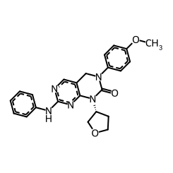 COc1ccc(N2Cc3cnc(Nc4ccccc4)nc3N([C@@H]3CCOC3)C2=O)cc1